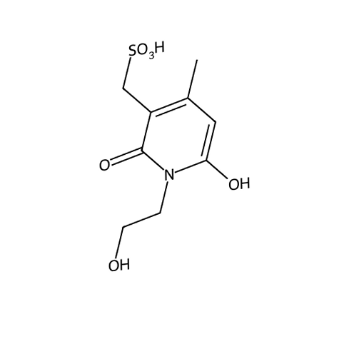 Cc1cc(O)n(CCO)c(=O)c1CS(=O)(=O)O